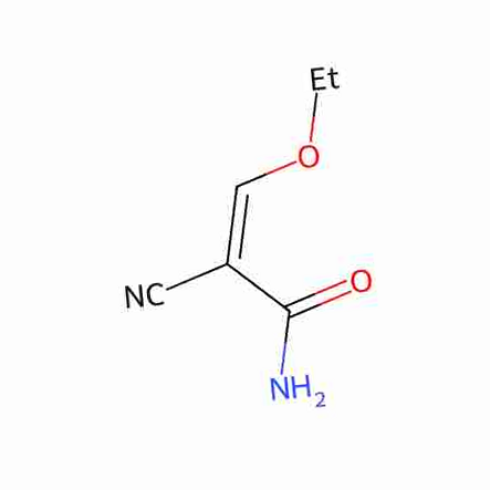 CCOC=C(C#N)C(N)=O